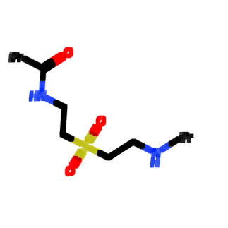 CC(C)NCCS(=O)(=O)CCNC(=O)C(C)C